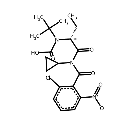 CC[C@H](C(=O)N(C(=O)c1c(Cl)cccc1[N+](=O)[O-])C1CC1)N(C(=O)O)C(C)(C)C